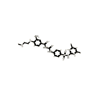 Bc1cc(C(=O)NC(=S)Nc2ccc(S(=O)(=O)Nc3nc(C)cc(C)n3)cc2)ccc1OCCOC